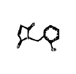 O=C1C=CC(=O)N1Cc1ccccc1O